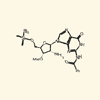 CO[C@H]1[C@@H](N)[C@H](n2cnc3c(=O)[nH]c(NC(=O)C(C)C)nc32)O[C@@H]1CO[Si](C)(C)C(C)(C)C